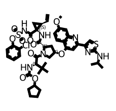 C=C[C@@H]1C[C@]1(NC(=O)[C@@H]1C[C@@H](Oc2cc(-c3csc(NC(C)C)n3)nc3cc(OC)ccc23)CN1C(=O)[C@@H](NC(=O)OC1CCCC1)C(C)(C)C)C(=O)NS(=O)(=O)Oc1ccccc1Cl